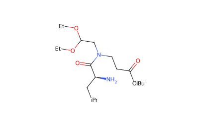 CCOC(CN(CCC(=O)OCC(C)C)C(=O)[C@@H](N)CC(C)C)OCC